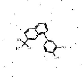 Oc1ccc(-c2cccc3ccc(C(O)(O)O)cc23)cc1O